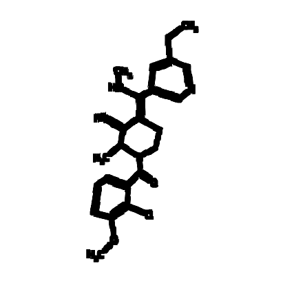 CCc1cncc(/C(NC)=C2\CCN(C(=O)c3cccc(OC)c3Cl)C(C)C2=N)c1